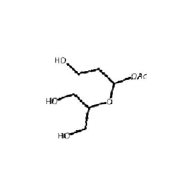 CC(=O)OC(CCO)OC(CO)CO